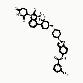 Cn1c(=O)n(C2CCC(=O)NC2=O)c2cccc(C3=CCN(C[C@H]4CC[C@H](n5cc6cc(NC(=O)c7cccc(C(F)(F)F)n7)ccc6n5)CC4)CC3(F)F)c21